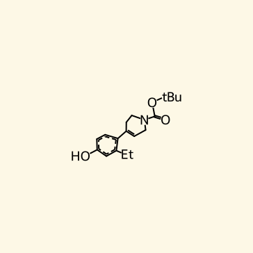 CCc1cc(O)ccc1C1=CCN(C(=O)OC(C)(C)C)CC1